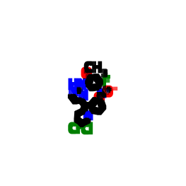 COc1cc(F)c([N+](=O)[O-])cc1Nc1nccc(-c2c3n(c4ccccc24)CC(Cl)(Cl)CC3)n1